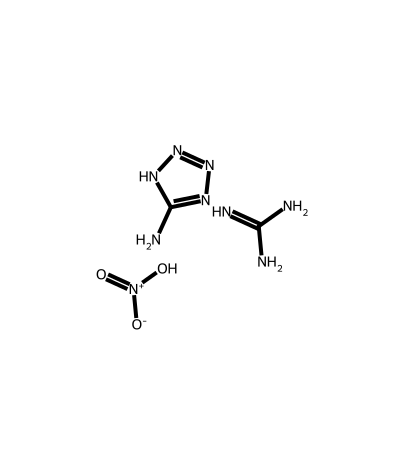 N=C(N)N.Nc1nnn[nH]1.O=[N+]([O-])O